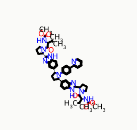 COC(=O)N[C@H](C(=O)N1CCCC1c1nc2cc([C@H]3CC[C@H](c4ccc5[nH]c([C@@H]6CCCN6C(=O)[C@@H](NC(=O)OC)C(C)C)nc5c4)N3c3ccc(-c4ccccn4)cc3)ccc2[nH]1)C(C)C